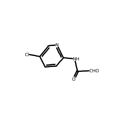 O=CC(=O)Nc1ccc(Cl)cn1